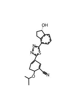 CC(C)OC1CC=C(c2nnc(-c3cccc4c3CC[C@@H]4O)s2)C=C1C#N